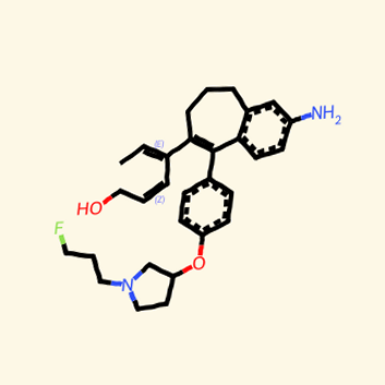 C/C=C(\C=C/CO)C1=C(c2ccc(OC3CCN(CCCF)C3)cc2)c2ccc(N)cc2CCC1